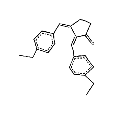 CCc1ccc(/C=C2/CCC(=O)/C2=C\c2ccc(CC)cc2)cc1